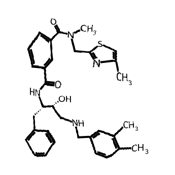 Cc1csc(CN(C)C(=O)c2cccc(C(=O)N[C@@H](Cc3ccccc3)[C@H](O)CNCc3ccc(C)c(C)c3)c2)n1